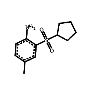 Cc1ccc(N)c(S(=O)(=O)C2CCCC2)c1